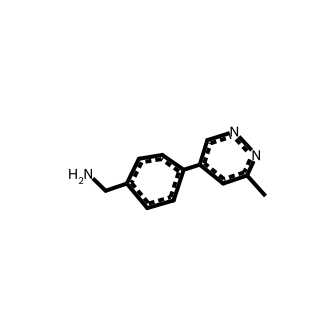 Cc1cc(-c2ccc(CN)cc2)cnn1